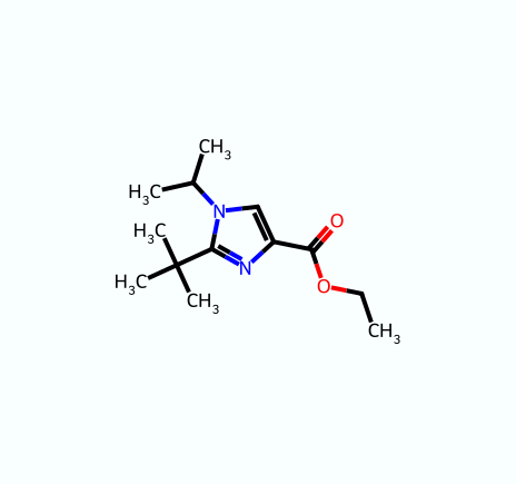 CCOC(=O)c1cn(C(C)C)c(C(C)(C)C)n1